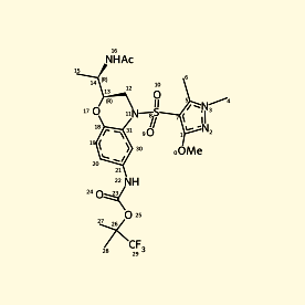 COc1nn(C)c(C)c1S(=O)(=O)N1C[C@H]([C@@H](C)NC(C)=O)Oc2ccc(NC(=O)OC(C)(C)C(F)(F)F)cc21